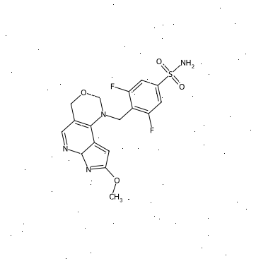 COC1=NC2N=CC3=C(C2=C1)N(Cc1c(F)cc(S(N)(=O)=O)cc1F)COC3